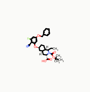 CCC1[C@@H]2CC[C@H](Oc3cc(OCc4ccccc4)cc(F)c3C#N)C[C@@H]2C[C@@H](C(=O)O)N1C(=O)OC(C)(C)C